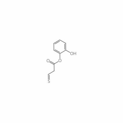 O=C(CC=S)Oc1ccccc1O